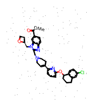 COC(=O)c1ccc2nc(CN3CC=C(c4cccc(OC5CCCc6cc(Cl)ccc65)n4)CC3)n(C[C@@H]3CCO3)c2c1